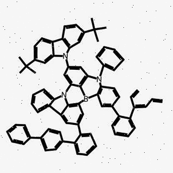 C=C/C=C(\C=C)c1ccccc1-c1ccc2c(c1)B1c3c(cc(-n4c5cc(C(C)(C)C)ccc5c5ccc(C(C)(C)C)cc54)cc3-n3c4ccccc4c4cc(-c5ccccc5-c5ccc(-c6ccccc6)cc5)cc1c43)N2c1ccccc1